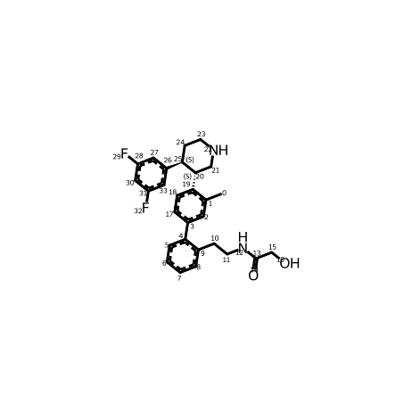 Cc1cc(-c2ccccc2CCNC(=O)CO)ccc1[C@H]1CNCC[C@@H]1c1cc(F)cc(F)c1